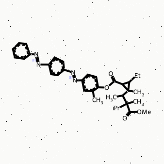 CCC1C(C(=O)Oc2ccc(/N=N/c3ccc(/N=N/c4ccccc4)cc3)cc2C)C1(C)C(C)C(C)(C(=O)OC)C(C)C